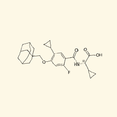 O=C(N[C@H](C(=O)O)C1CC1)c1cc(C2CC2)c(OCC23CC4CC(CC(C4)C2)C3)cc1F